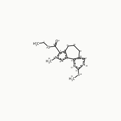 CCOC(=O)c1c2c(nn1C)-c1nc(SC)ncc1CCC2